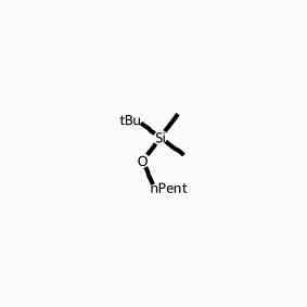 CC[CH]CCO[Si](C)(C)C(C)(C)C